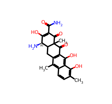 Cc1ccc2c(C)c3c(c(O)c2c1O)C(=O)C1(C)C(=O)C(C(N)=O)=C(O)[C@H](N)C1C3